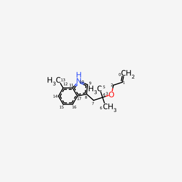 C=CCOC(C)(C)Cc1c[nH]c2c(C)cccc12